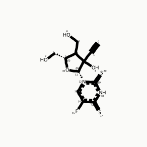 C#CC1(O)C(CO)[C@@H](CO)O[C@H]1n1cc(F)c(=S)[nH]c1=S